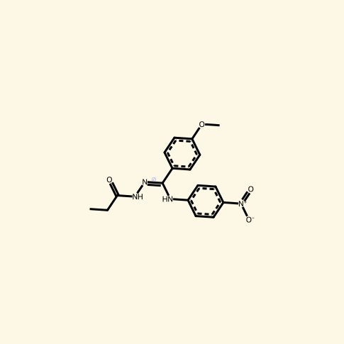 CCC(=O)N/N=C(\Nc1ccc([N+](=O)[O-])cc1)c1ccc(OC)cc1